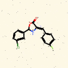 O=C1OC(c2cccc(Cl)c2)N/C1=C\c1ccc(F)cc1